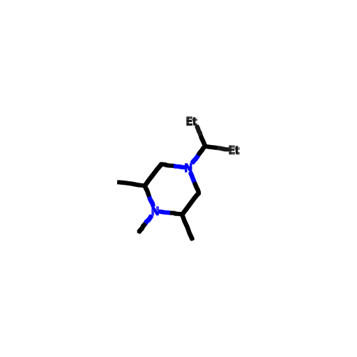 CCC(CC)N1CC(C)N(C)C(C)C1